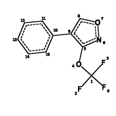 FC(F)(F)Oc1nocc1-c1ccccc1